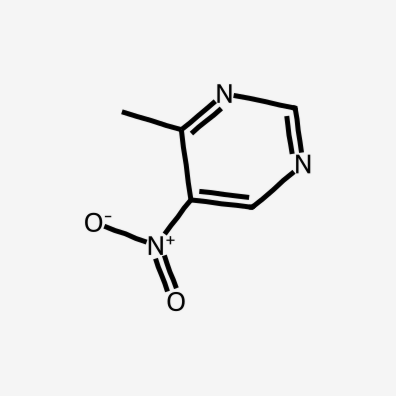 Cc1ncncc1[N+](=O)[O-]